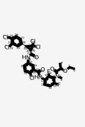 CCOC(C)C(=O)N(C)c1c(F)ccc(NC(=O)c2cc(NC(=O)[C@H]3[C@H](c4ccc(Cl)c(Cl)c4)C3(Cl)Cl)ccc2Cl)c1F